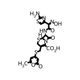 Cc1cc(SCC2=C(C(=O)O)N3C(=O)[C@@H](NC(=O)/C(=N\O)c4csc(N)n4)[C@@H]3SC2)cc(=O)o1